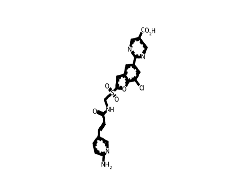 Nc1ccc(C=CC(=O)NCS(=O)(=O)c2cc3cc(-c4ncc(C(=O)O)cn4)cc(Cl)c3o2)cn1